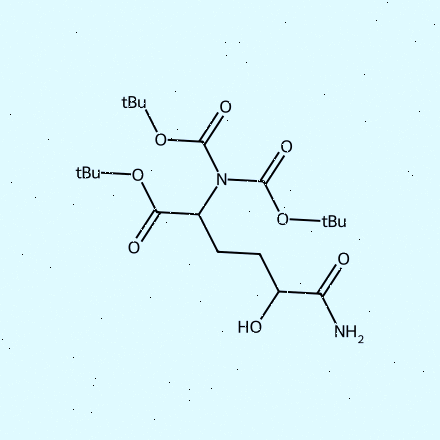 CC(C)(C)OC(=O)C(CCC(O)C(N)=O)N(C(=O)OC(C)(C)C)C(=O)OC(C)(C)C